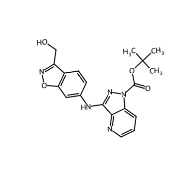 CC(C)(C)OC(=O)n1nc(Nc2ccc3c(CO)noc3c2)c2ncccc21